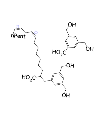 CCCCC/C=C\C/C=C\CCCCCCC(Cc1cc(CO)cc(CO)c1)C(=O)O.O=C(O)c1cc(CO)cc(CO)c1